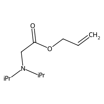 C=CCOC(=O)CN(C(C)C)C(C)C